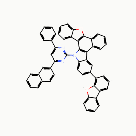 c1ccc(-c2cc(-c3ccc4ccccc4c3)nc(-n3c4ccc(-c5cccc6c5oc5ccccc56)cc4c4c5ccccc5c5oc6ccccc6c5c43)n2)cc1